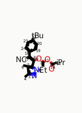 CCn1nc(C)c(C)c1/C(OC(C)OC(=O)C(C)C)=C(\C#N)c1ccc(C(C)(C)C)cc1